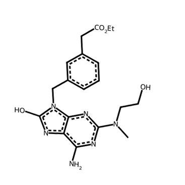 CCOC(=O)Cc1cccc(Cn2c(O)nc3c(N)nc(N(C)CCO)nc32)c1